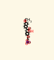 COc1ccc2cc([C@H](Cc3ccc(OCCO[N+](=O)[O-])cc3)C(=O)O)ccc2c1